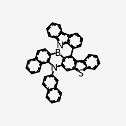 c1ccc2cc(N3c4cc5sc6ccccc6c5c5c4B(c4ccc6ccccc6c43)n3c4ccccc4c4cccc-5c43)ccc2c1